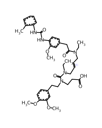 CCN(C/C=C/CN(CC)C(=O)N(CCC(=O)O)CCc1ccc(OC)c(OC)c1)C(=O)Cc1ccc(NC(=O)Nc2ccccc2C)c(OC)c1